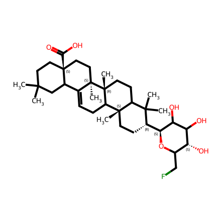 CC1(C)CC[C@]2(C(=O)O)CC[C@]3(C)C(=CCC4[C@@]5(C)CC[C@@H]([C@@H]6OC(CF)[C@@H](O)C(O)C6O)C(C)(C)C5CC[C@]43C)C2C1